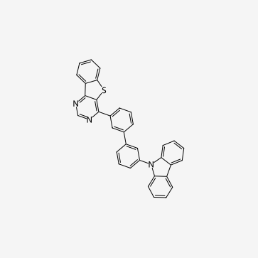 c1cc(-c2cccc(-n3c4ccccc4c4ccccc43)c2)cc(-c2ncnc3c2sc2ccccc23)c1